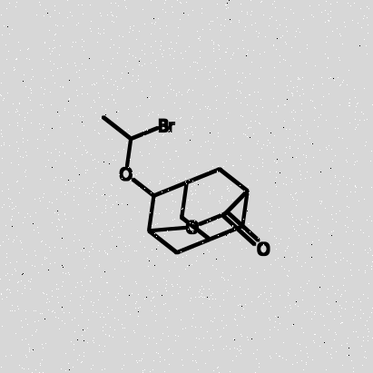 CC(Br)OC1C2CC3CC(C2)C(=O)OC1C3